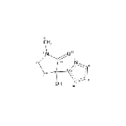 CN1CCC(O)(c2nccs2)C1=O